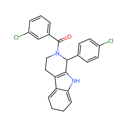 O=C(c1cccc(Cl)c1)N1CCc2c([nH]c3c2=CCCC=3)C1c1ccc(Cl)cc1